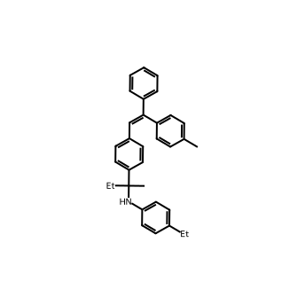 CCc1ccc(NC(C)(CC)c2ccc(C=C(c3ccccc3)c3ccc(C)cc3)cc2)cc1